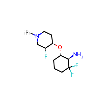 CC(C)N1CC[C@H](O[C@H]2CCCC(F)(F)[C@@H]2N)[C@H](F)C1